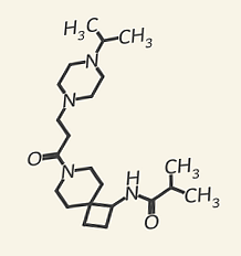 CC(C)C(=O)NC1CCC12CCN(C(=O)CCN1CCN(C(C)C)CC1)CC2